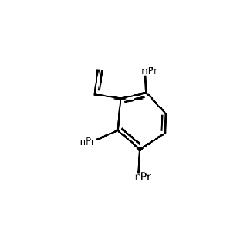 C=Cc1c(CCC)ccc(CCC)c1CCC